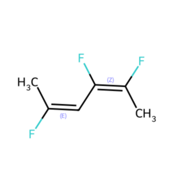 C/C(F)=C(F)\C=C(/C)F